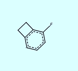 Fc1cc[c]c2c1CC2